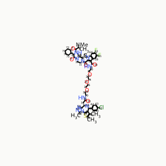 CNC(C)C(=O)NC(C(=O)N1CCN(C(=O)c2c(C(=O)NCCOCCOCCOCCNC(=O)C[C@@H]3N=C(c4ccc(Cl)cc4)c4c(sc(C)c4C)-n4c(C)nnc43)c3cc(F)c(F)cc3n2C)CC1)C1CCCCC1